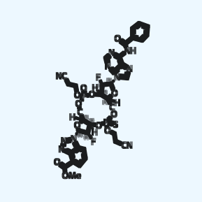 COC(=O)c1cccc2c1nnn2[C@@H]1O[C@@H]2COP(=O)(OCCC#N)O[C@H]3[C@@H](F)[C@H](n4cnc5c(NC(=O)c6ccccc6)ncnc54)O[C@@H]3COP(=S)(OCCC#N)O[C@H]2[C@H]1F